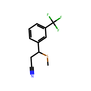 CSC(CC#N)c1cccc(C(F)(F)F)c1